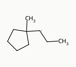 CC[CH]C1(C)CCCC1